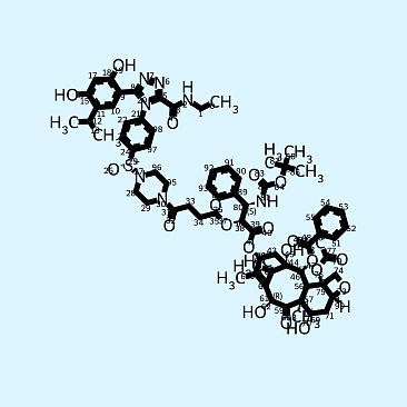 CCNC(=O)c1nnc(-c2cc(C(C)C)c(O)cc2O)n1-c1ccc([S+]([O-])N2CCN(C(=O)CCC(=O)O[C@@H](C(=O)O[C@H]3C[C@@]4(O)[C@@H](OC(=O)c5ccccc5)C5[C@](C)(C(=O)[C@H](O)C(=C3C)C4(C)C)[C@@H](O)C[C@H]3OC[C@@]53OC(C)=O)[C@@H](NC(=O)OC(C)(C)C)c3ccccc3)CC2)cc1